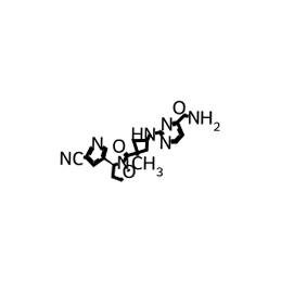 CC1(C(=O)N2OCC[C@H]2c2cncc(C#N)c2)CC(Nc2nccc(C(N)=O)n2)C1